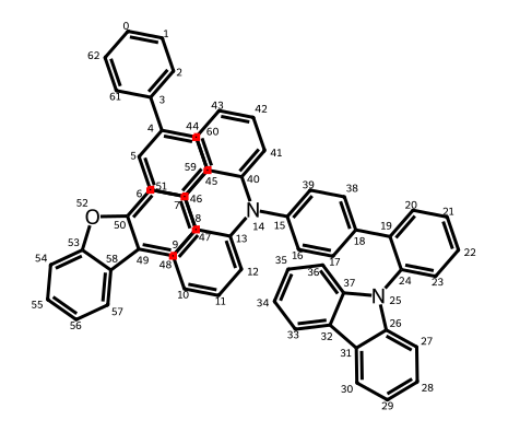 c1ccc(-c2ccc(-c3ccccc3N(c3ccc(-c4ccccc4-n4c5ccccc5c5ccccc54)cc3)c3ccccc3-c3ccc4c(c3)oc3ccccc34)cc2)cc1